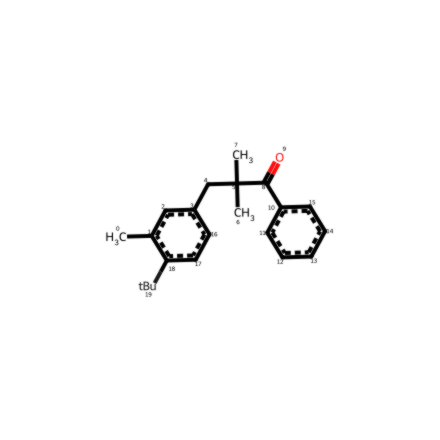 Cc1cc(CC(C)(C)C(=O)c2ccccc2)ccc1C(C)(C)C